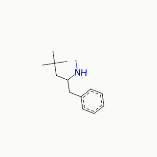 CNC(Cc1ccccc1)CC(C)(C)C